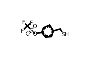 O=S(=O)(Oc1ccc(CS)cc1)C(F)(F)F